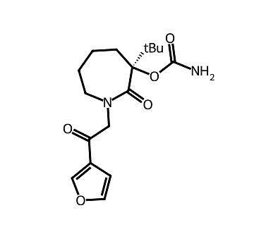 CC(C)(C)[C@@]1(OC(N)=O)CCCCN(CC(=O)c2ccoc2)C1=O